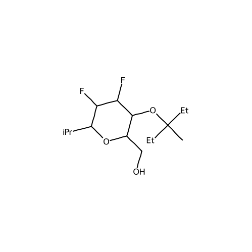 CCC(C)(CC)OC1C(CO)OC(C(C)C)C(F)C1F